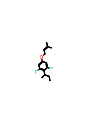 CCC(C)c1c(F)cc(OCC=C(C)C)cc1F